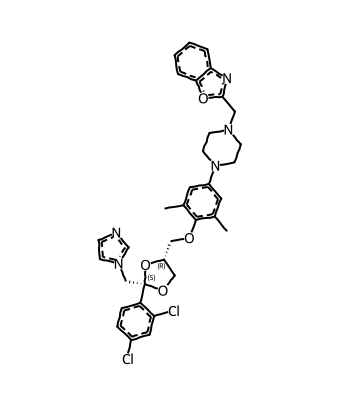 Cc1cc(N2CCN(Cc3nc4ccccc4o3)CC2)cc(C)c1OC[C@@H]1CO[C@@](Cn2ccnc2)(c2ccc(Cl)cc2Cl)O1